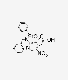 CCOC(=O)/C(O)=C\c1cc(N(Cc2ccccc2)Cc2ccccc2)ncc1[N+](=O)[O-]